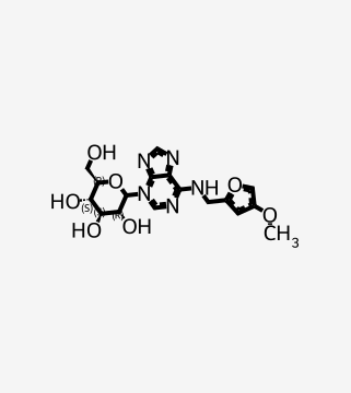 COc1coc(CNc2ncn(C3O[C@H](CO)[C@@H](O)[C@H](O)[C@H]3O)c3ncnc2-3)c1